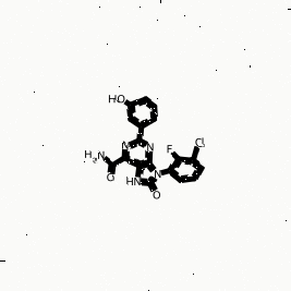 NC(=O)c1nc(-c2cccc(O)c2)nc2c1[nH]c(=O)n2-c1cccc(Cl)c1F